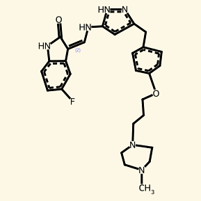 CN1CCN(CCCOc2ccc(Cc3cc(N/C=C4\C(=O)Nc5ccc(F)cc54)[nH]n3)cc2)CC1